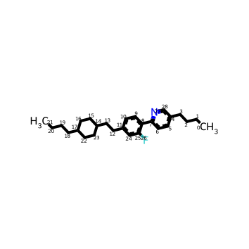 CCCCc1ccc(-c2ccc(CCC3CCC(CCCC)CC3)cc2F)nc1